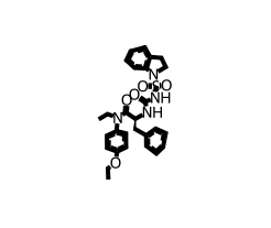 CCOc1ccc(N(CC)C(=O)[C@H](Cc2ccccc2)NC(=O)NS(=O)(=O)N2CCc3ccccc32)cc1